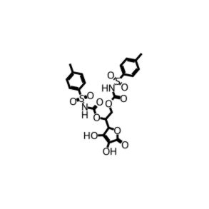 Cc1ccc(S(=O)(=O)NC(=O)OCC(OC(=O)NS(=O)(=O)c2ccc(C)cc2)C2OC(=O)C(O)=C2O)cc1